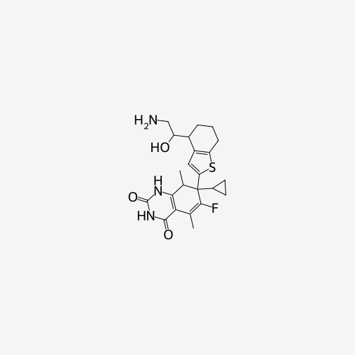 CC1=C(F)C(c2cc3c(s2)CCCC3C(O)CN)(C2CC2)C(C)c2[nH]c(=O)[nH]c(=O)c21